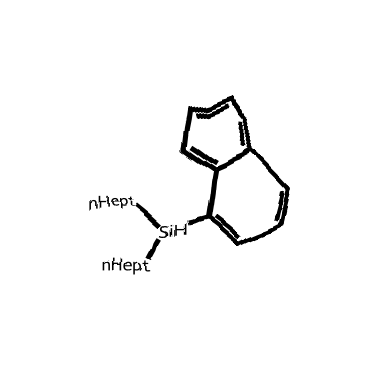 CCCCCCC[SiH](CCCCCCC)c1cccc2ccccc12